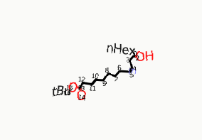 CCCCCCC(O)C/C=C\CCCCCCCC(=O)OC(C)(C)C